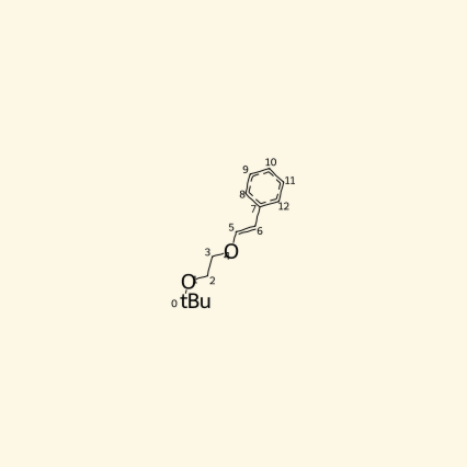 CC(C)(C)OCCOC=Cc1ccccc1